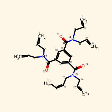 C=CCN(CC=C)C(=O)c1cc(C(=O)N(CC=C)CC=C)cc(C(=O)N(CC=C)C/C=C\C)c1